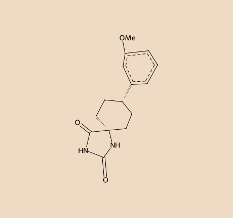 COc1cccc([C@H]2CC[C@]3(CC2)NC(=O)NC3=O)c1